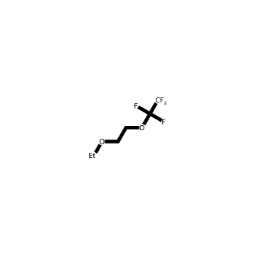 [CH2]COCCOC(F)(F)C(F)(F)F